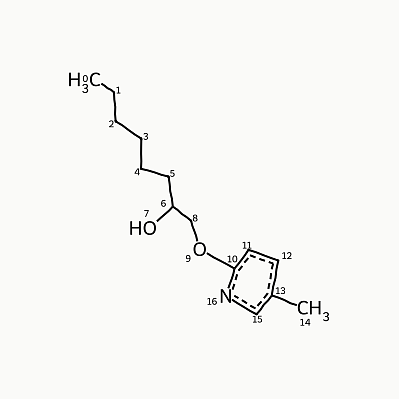 CCCCCCC(O)COc1ccc(C)cn1